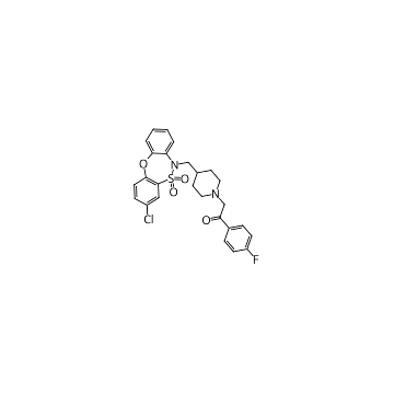 O=C(CN1CCC(CN2c3ccccc3Oc3ccc(Cl)cc3S2(=O)=O)CC1)c1ccc(F)cc1